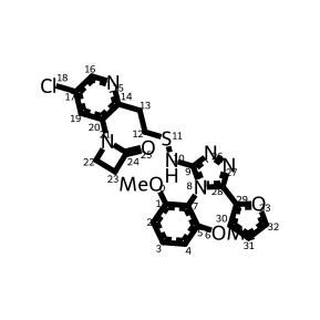 COc1cccc(OC)c1-n1c(NSCCc2ncc(Cl)cc2N2CCC2=O)nnc1-c1ccco1